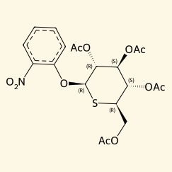 CC(=O)OC[C@H]1S[C@@H](Oc2ccccc2[N+](=O)[O-])[C@H](OC(C)=O)[C@@H](OC(C)=O)[C@@H]1OC(C)=O